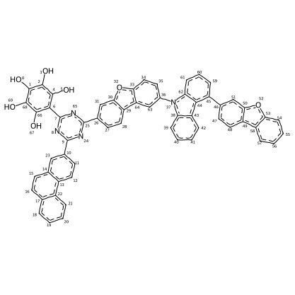 Oc1c(O)c(O)c(-c2nc(-c3ccc4c(ccc5ccccc54)c3)nc(-c3ccc4c(c3)oc3ccc(-n5c6ccccc6c6c(-c7ccc8c(c7)oc7ccccc78)cccc65)cc34)n2)c(O)c1O